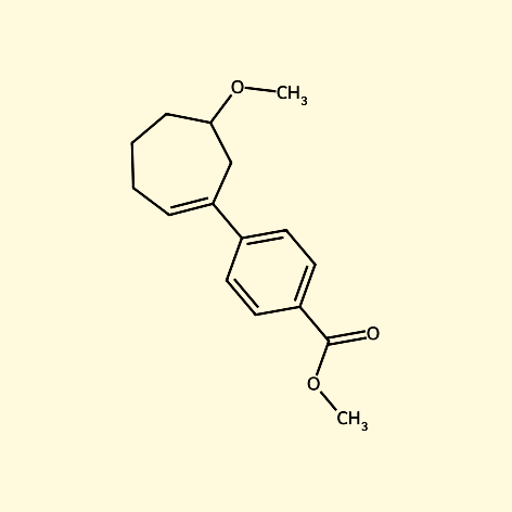 COC(=O)c1ccc(C2=CCCCC(OC)C2)cc1